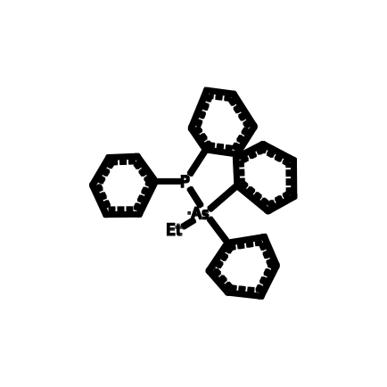 CC[As](c1ccccc1)(c1ccccc1)P(c1ccccc1)c1ccccc1